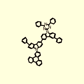 C1=CCC(c2nc(-c3ccccc3)nc(-n3c4ccc(C5=CC6c7cc(-c8ccccc8)ccc7N(c7ccc8c(c7)c7c(c9ccccc98)CCC=C7)C6C=C5)cc4c4cc(-c5ccccc5)ccc43)n2)C=C1